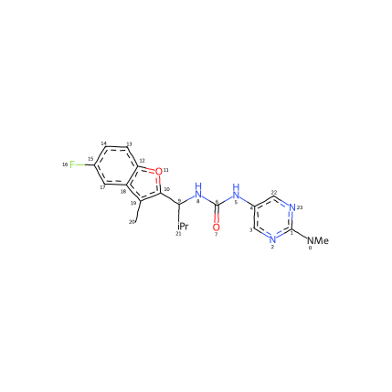 CNc1ncc(NC(=O)NC(c2oc3ccc(F)cc3c2C)C(C)C)cn1